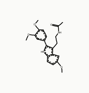 COc1ccc2[nH]c(-c3ccc(OC)c(OC)c3)c(CCNC(C)=O)c2c1